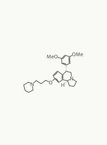 COc1cc(OC)cc([C@@H]2CN3CCC[C@H]3c3cc(OCCCN4CCCCC4)ccc32)c1